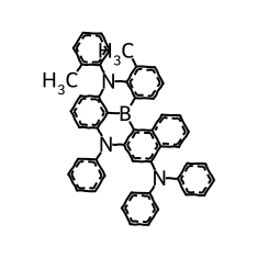 Cc1ccccc1N1c2cccc3c2B(c2cccc(C)c21)c1c(cc(N(c2ccccc2)c2ccccc2)c2ccccc12)N3c1ccccc1